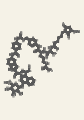 CSC1CC(=O)N(CCCCCC(=O)NC(C(=O)NC(CCCNC(N)=O)C(=O)Nc2ccc(COC(=O)Nc3ccc(C(=O)Nc4ccc5[nH]c(C(=O)N6CC(CCl)c7c6cc(OC6OC(C(=O)O)C(O)C(O)C6O)c6ccccc76)cc5c4)cc3)cc2)C(C)C)C1=O